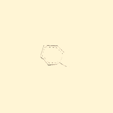 [Li+].[PH-]c1ccccc1